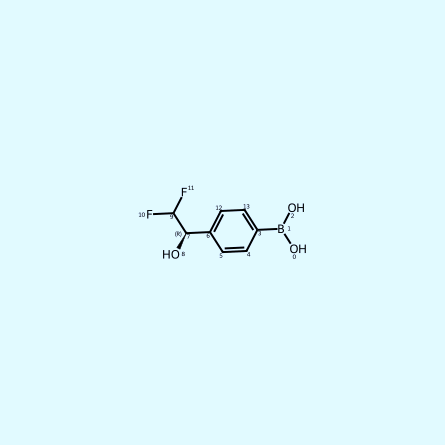 OB(O)c1ccc([C@@H](O)C(F)F)cc1